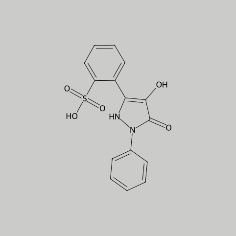 O=c1c(O)c(-c2ccccc2S(=O)(=O)O)[nH]n1-c1ccccc1